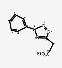 CCOC(=O)Cc1nnn(-c2ccccc2)n1